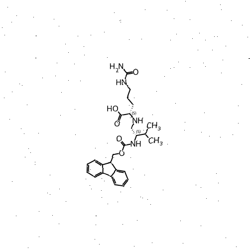 CC(C)[C@@H](CN[C@@H](CCCNC(N)=O)C(=O)O)NC(=O)OCC1c2ccccc2-c2ccccc21